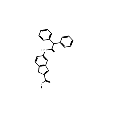 O=C(NO)C1=Cc2cc(NC(=O)C(c3ccccc3)c3ccccc3)ccc2C1